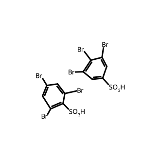 O=S(=O)(O)c1c(Br)cc(Br)cc1Br.O=S(=O)(O)c1cc(Br)c(Br)c(Br)c1